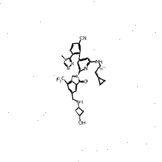 C[C@H](CC1CC1)Nc1cc(-c2cc(C#N)ccc2-c2nncn2C)cc(N2Cc3c(cc(CN[C@H]4C[C@@H](O)C4)cc3C(F)(F)F)C2=O)n1